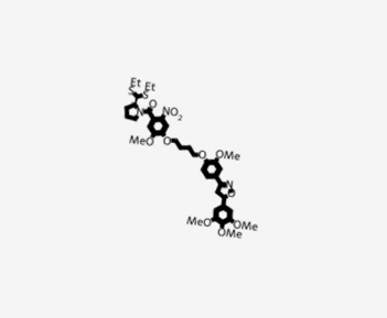 CCSC(SCC)[C@@H]1CCCN1C(=O)c1cc(OC)c(OCCCCOc2ccc(C3=NOC(c4cc(OC)c(OC)c(OC)c4)C3)cc2OC)cc1[N+](=O)[O-]